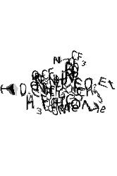 CCOC(=O)C[C@H](NC(=O)C(CC(C)C)n1cc(CCN2CCC2)c(C(F)(F)F)cc1=O)c1c(F)c(-c2c(C)ccc(OC)c2C)cc(C(F)(F)F)c1F.COc1ccc(C)c(-c2cc(C(F)(F)F)c(F)c([C@H](CC(=O)O)NC(=O)C(CC(C)C)n3cc(CCN4CCC4)c(C(F)(F)F)cc3=O)c2F)c1C